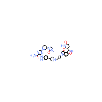 CN1CCN([C@@H]2CCCN(c3cnc(C(N)=O)c(Nc4ccc(C5CCN(CC6CC(n7ccc8c9c(ccc87)ONC9C7CCC(=O)NC7=O)C6)CC5)cc4)n3)C2)C1=O